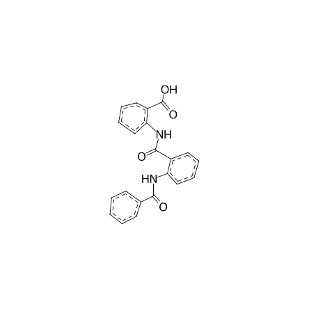 O=C(Nc1ccccc1C(=O)Nc1ccccc1C(=O)O)c1ccccc1